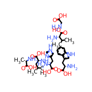 CC(C)C[C@H](N)C(=O)O.CC(C)[C@H](N)C(=O)O.C[C@H](N)C(=O)O.NCC(=O)O.N[C@@H](Cc1c[nH]c2ccccc12)C(=O)O.N[C@@H](Cc1c[nH]cn1)C(=O)O